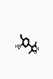 C=Cc1ccc(-c2c(C)noc2C)cc1NC